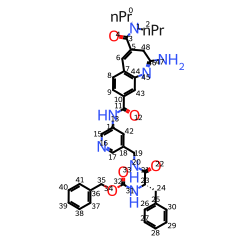 CCCN(CCC)C(=O)C1=Cc2ccc(C(=O)Nc3cncc(CNC(=O)[C@H](Cc4ccccc4)NC(=O)OCc4ccccc4)c3)cc2N=C(N)C1